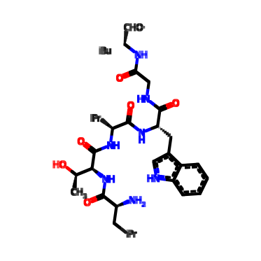 CC[C@H](C)[C@@H]([C]=O)NC(=O)CNC(=O)[C@H](Cc1c[nH]c2ccccc12)NC(=O)[C@@H](NC(=O)[C@@H](NC(=O)[C@@H](N)CC(C)C)[C@@H](C)O)C(C)C